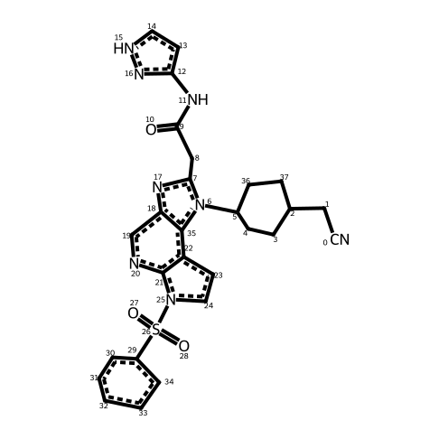 N#CCC1CCC(n2c(CC(=O)Nc3cc[nH]n3)nc3cnc4c(ccn4S(=O)(=O)c4ccccc4)c32)CC1